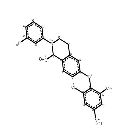 O=CC1c2ccc(Oc3c(Cl)cc([N+](=O)[O-])cc3Cl)cc2CCN1c1cccc(F)c1